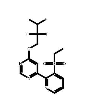 CCS(=O)(=O)c1cccnc1-c1cc(OCC(F)(F)C(C)F)ncn1